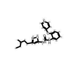 CCC(C)CCc1cc(NC(=O)Nc2ccccc2Oc2ccncc2)on1